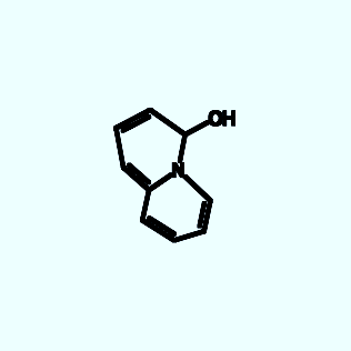 OC1C=CC=C2C=CC=CN21